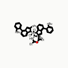 CCCCc1ccccc1-c1cccc2c1C=C(CCC)[CH]2[Hf]([Cl])([Cl])([B](NC(=O)CC)NC(=O)CC)[CH]1C(CCC)=Cc2c(-c3ccccc3CCCC)cccc21